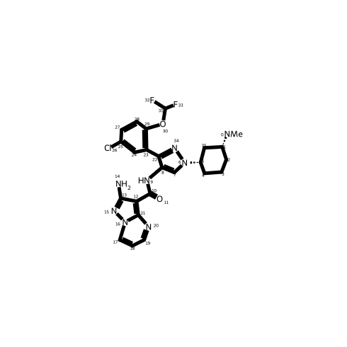 CN[C@@H]1CCC[C@H](n2cc(NC(=O)c3c(N)nn4cccnc34)c(-c3cc(Cl)ccc3OC(F)F)n2)C1